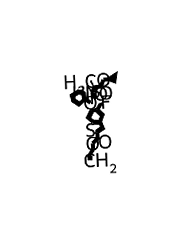 C=CCOC(=O)c1cc2cc([C@H](F)P(=O)(N[C@@H](C)C(=O)OC3CC3)Oc3ccccc3)ccc2s1